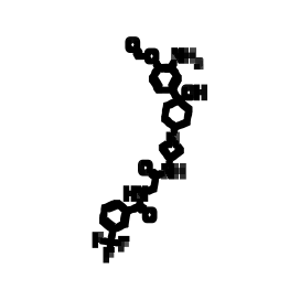 Nc1cc(C2(O)CCC(N3CC(NC(=O)CNC(=O)c4cccc(C(F)(F)F)c4)C3)CC2)ccc1OC=O